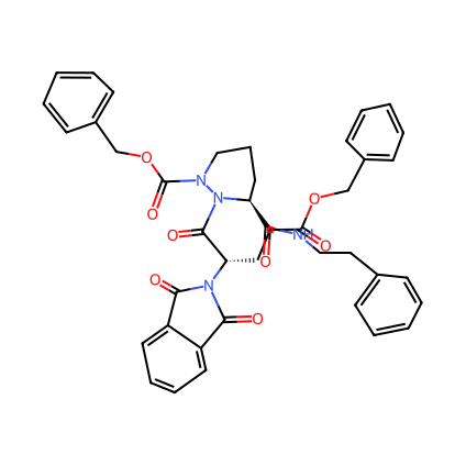 O=C(CC[C@@H](C(=O)N1[C@H](C(=O)NCCc2ccccc2)CCCN1C(=O)OCc1ccccc1)N1C(=O)c2ccccc2C1=O)OCc1ccccc1